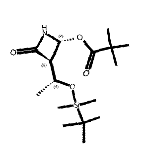 C[C@@H](O[Si](C)(C)C(C)(C)C)[C@H]1C(=O)N[C@@H]1OC(=O)C(C)(C)C